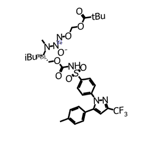 CC[C@@H](C)[C@@H](COC(=O)NS(=O)(=O)c1ccc(-n2nc(C(F)(F)F)cc2-c2ccc(C)cc2)cc1)N(C)/[N+]([O-])=N/OCOC(=O)C(C)(C)C